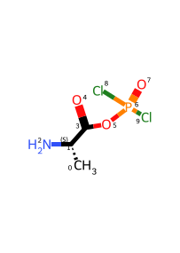 C[C@H](N)C(=O)OP(=O)(Cl)Cl